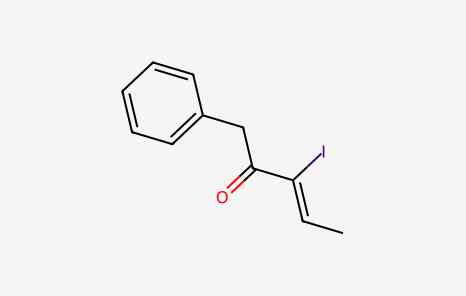 C/C=C(\I)C(=O)Cc1ccccc1